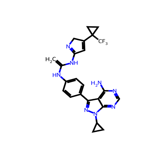 C=C(NC1=NCC(C2(C(F)(F)F)CC2)=C1)Nc1ccc(-c2nn(C3CC3)c3ncnc(N)c23)cc1